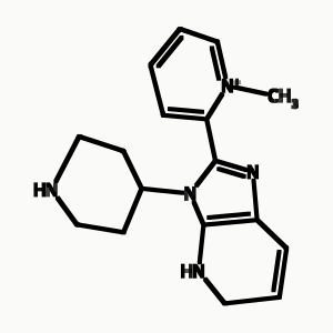 C[n+]1ccccc1-c1nc2c(n1C1CCNCC1)NCC=C2